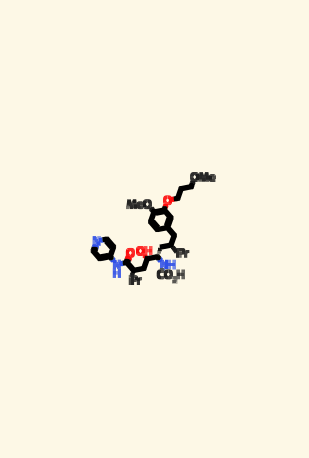 COCCCOc1cc(C[C@H](C[C@H](NC(=O)O)[C@H](O)C[C@H](C(=O)Nc2ccncc2)C(C)C)C(C)C)ccc1OC